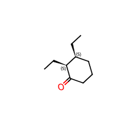 CC[C@H]1CCCC(=O)[C@H]1CC